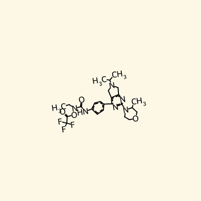 CCN(OC(=O)C(F)(F)F)C(=O)Nc1ccc(-c2nc(N3CCOCC3C)nc3c2CN(C(C)C)C3)cc1